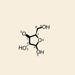 O=C1[C@@H](O)C(O)O[C@@H]1CO